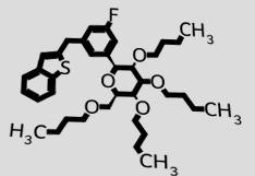 CCCCOC[C@H]1O[C@@H](c2cc(F)cc(Cc3cc4ccccc4s3)c2)[C@H](OCCCC)C(OCCCC)[C@@H]1OCCCC